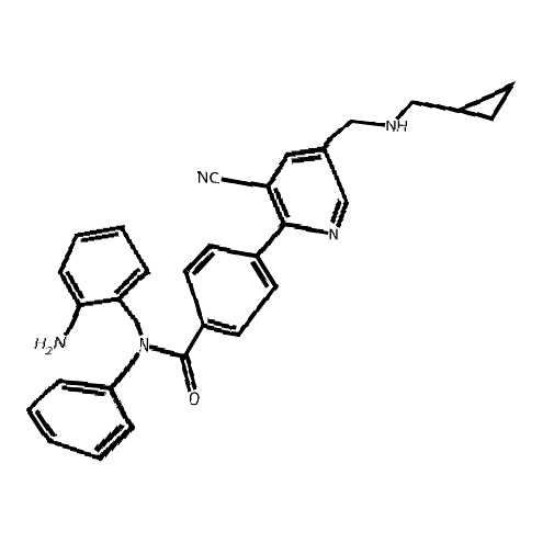 N#Cc1cc(CNCC2CC2)cnc1-c1ccc(C(=O)N(c2ccccc2)c2ccccc2N)cc1